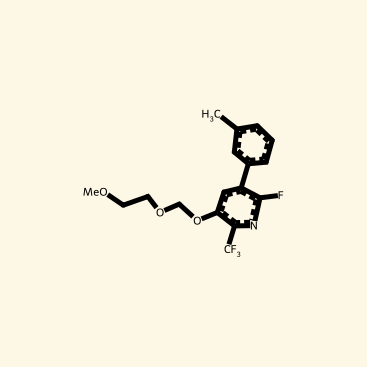 COCCOCOc1cc(-c2cccc(C)c2)c(F)nc1C(F)(F)F